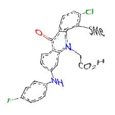 CSc1c(Cl)ccc2c(=O)c3ccc(Nc4ccc(F)cc4)cc3n(CC(=O)O)c12